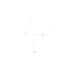 Cc1[nH]c2ccccc2c1CC(=O)N[C@@H](CO)C(=O)Nc1ccc(C(c2ccc(NC(=O)[C@H](CO)NC(=O)Cc3c(C)[nH]c4ccccc34)cc2)c2ccc(NC(=O)[C@H](CO)NC(=O)Cc3c(C)[nH]c4ccccc34)cc2)cc1